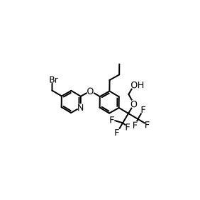 CCCc1cc(C(OCO)(C(F)(F)F)C(F)(F)F)ccc1Oc1cc(CBr)ccn1